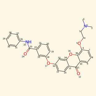 CN(C)CCOc1cccc2c(=O)c3ccc(Oc4cccc(C(=O)Nc5ccccc5)c4)cc3oc12